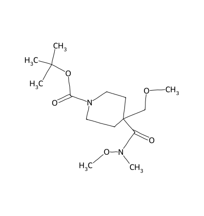 COCC1(C(=O)N(C)OC)CCN(C(=O)OC(C)(C)C)CC1